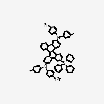 Cc1ccc(N(c2ccc(C(C)C)cc2)c2ccc3c(c2)c2cc([Si](c4ccccc4)(c4ccccc4)c4ccccc4)ccc2c2c4ccc(N(c5ccc(C)cc5)c5ccc(C(C)C)cc5)cc4c4ccccc4c32)cc1